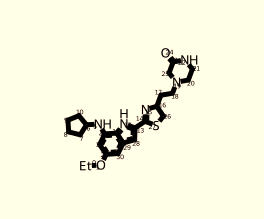 CCOc1cc(NC2CCCC2)c2[nH]c(C3=NC(CCN4CCNC(=O)C4)CS3)cc2c1